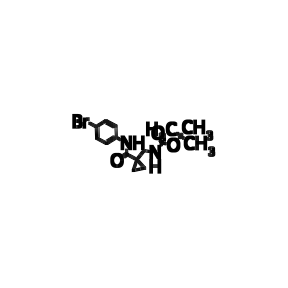 CC(C)(C)OC(=O)NCC1(C(=O)Nc2ccc(Br)cc2)CC1